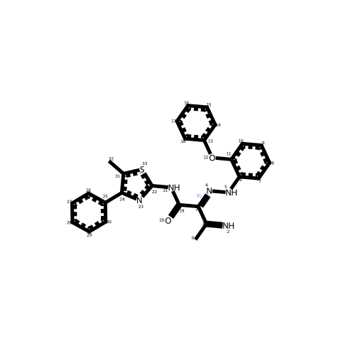 CC(=N)/C(=N\Nc1ccccc1Oc1ccccc1)C(=O)Nc1nc(-c2ccccc2)c(C)s1